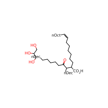 CCCCCCCC/C=C\CCCCCCC(C(=O)O)C(CCCCCCCCCC)C(=O)CCCCCCCCCCCCCCC.OCC(O)CO